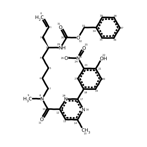 C=CC[C@H](CCCCN(C)C(=O)c1cc(C)nc(-c2ccc(O)c([N+](=O)[O-])c2)n1)NC(=O)OCc1ccccc1